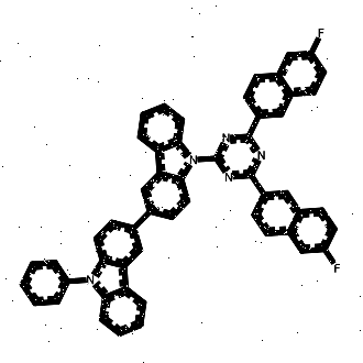 Fc1ccc2cc(-c3nc(-c4ccc5cc(F)ccc5c4)nc(-n4c5ccccc5c5cc(-c6ccc7c(c6)c6ccccc6n7-c6ccccc6)ccc54)n3)ccc2c1